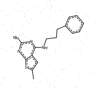 Cc1cc2c(NCCCc3ccccc3)nc(C(C)(C)C)nc2s1